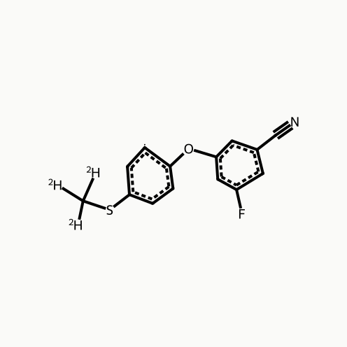 [2H]C([2H])([2H])Sc1c[c]c(Oc2cc(F)cc(C#N)c2)cc1